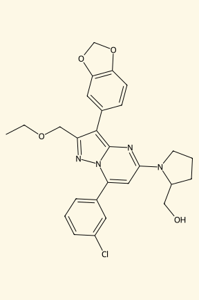 CCOCc1nn2c(-c3cccc(Cl)c3)cc(N3CCCC3CO)nc2c1-c1ccc2c(c1)OCO2